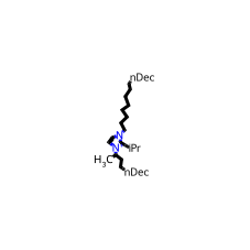 CCCCCCCCCCCCCCCCCCn1cc[n+](C(C)CCCCCCCCCCCC)c1C(C)C